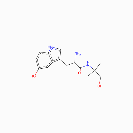 CC(C)(CO)NC(=O)[C@@H](N)Cc1c[nH]c2ccc(O)cc12